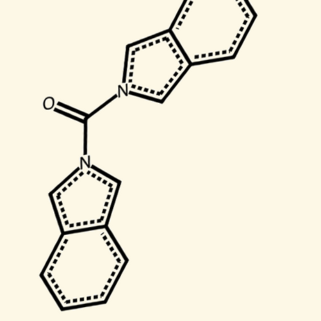 O=C(n1cc2ccccc2c1)n1cc2ccccc2c1